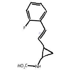 O=C(O)NC1CC1/C=C/c1ccccc1F